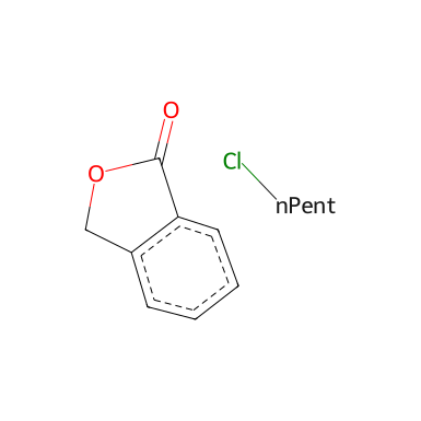 CCCCCCl.O=C1OCc2ccccc21